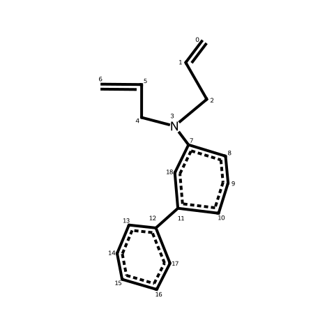 C=CCN(CC=C)c1cccc(-c2ccccc2)c1